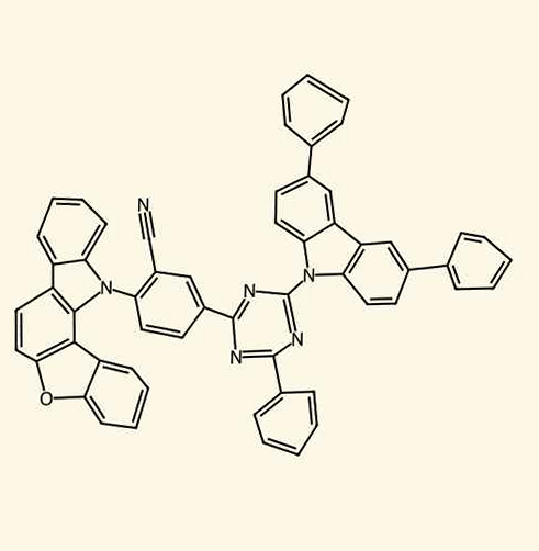 N#Cc1cc(-c2nc(-c3ccccc3)nc(-n3c4ccc(-c5ccccc5)cc4c4cc(-c5ccccc5)ccc43)n2)ccc1-n1c2ccccc2c2ccc3oc4ccccc4c3c21